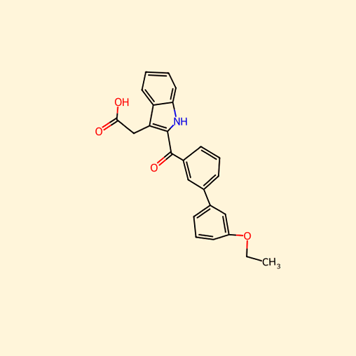 CCOc1cccc(-c2cccc(C(=O)c3[nH]c4ccccc4c3CC(=O)O)c2)c1